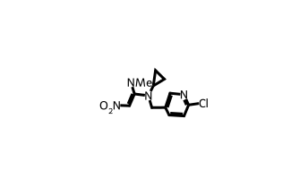 CNC(=C[N+](=O)[O-])N(Cc1ccc(Cl)nc1)C1CC1